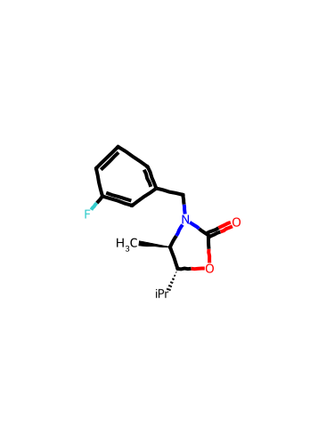 CC(C)[C@H]1OC(=O)N(Cc2cccc(F)c2)[C@@H]1C